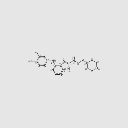 Cc1cc(Nc2ncnc3nc(NCCN4CCOCC4)sc23)ccc1F